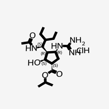 CCC(CC)[C@H](NC(C)=O)[C@@H]1[C@H](O)[C@@H](C(=O)OC(C)C)C[C@H]1NC(=N)N.Cl